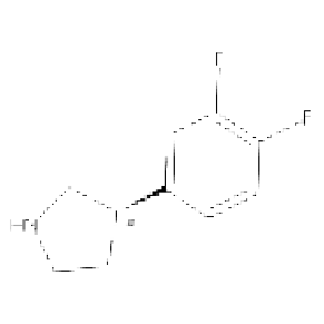 Fc1ccc([C@H]2CCNC2)cc1F